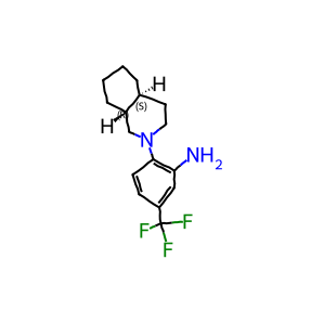 Nc1cc(C(F)(F)F)ccc1N1CC[C@@H]2CCCC[C@H]2C1